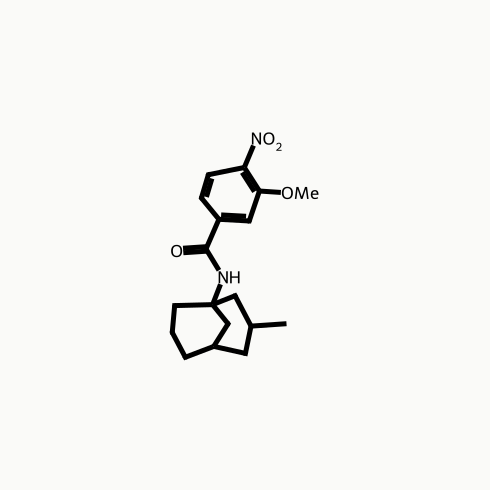 COc1cc(C(=O)NC23CCCC(CC(C)C2)C3)ccc1[N+](=O)[O-]